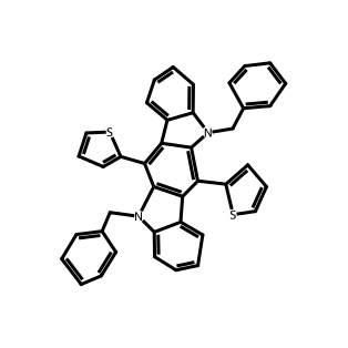 c1ccc(Cn2c3ccccc3c3c(-c4cccs4)c4c(c(-c5cccs5)c32)c2ccccc2n4Cc2ccccc2)cc1